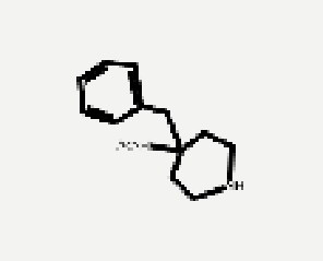 CC(=O)NC1(Cc2ccccc2)CCNCC1